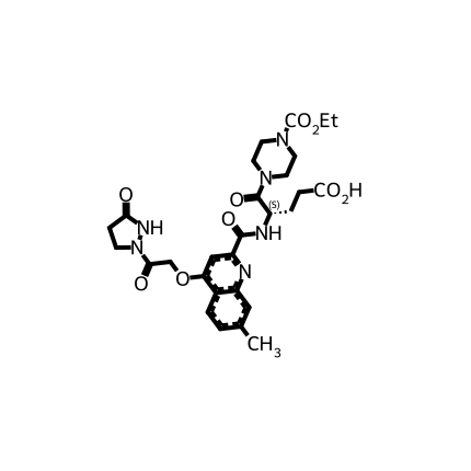 CCOC(=O)N1CCN(C(=O)[C@H](CCC(=O)O)NC(=O)c2cc(OCC(=O)N3CCC(=O)N3)c3ccc(C)cc3n2)CC1